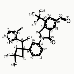 Cn1cnnc1C(F)C1(c2cccc(N3Cc4c(cc(C=O)cc4C(F)(F)F)C3=O)c2)CC(F)(F)C1